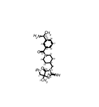 CC(C)CC1(C)NC(=N)N(CC2CCN(C(=O)c3cccc(C(C)N)c3)CC2)C1=O